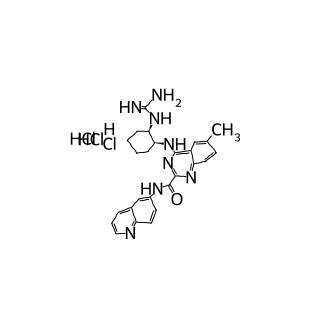 Cc1ccc2nc(C(=O)Nc3ccc4ncccc4c3)nc(N[C@H]3CCCC[C@H]3NC(=N)N)c2c1.Cl.Cl.Cl